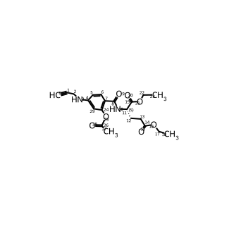 C#CCNc1ccc(C(=O)N[C@@H](CCC(=O)OCC)C(=O)OCC)c(OC(C)=O)c1